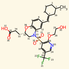 CC1CCC/C(=C\c2ccc3c(c2)N(S(=O)(=O)c2cc(C(F)(F)F)cnc2OCCO)C[C@H](CCC(=O)O)O3)C1